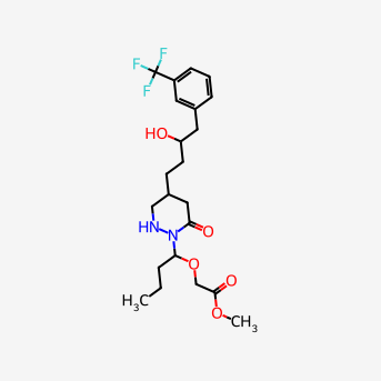 CCCC(OCC(=O)OC)N1NCC(CCC(O)Cc2cccc(C(F)(F)F)c2)CC1=O